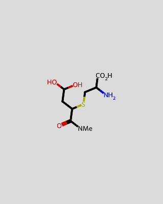 CNC(=O)C(CC(O)O)SCC(N)C(=O)O